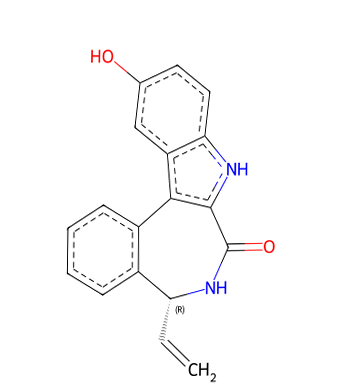 C=C[C@H]1NC(=O)c2[nH]c3ccc(O)cc3c2-c2ccccc21